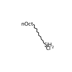 CCCCCCCCCCCCCCCCCC[SiH2]CCl